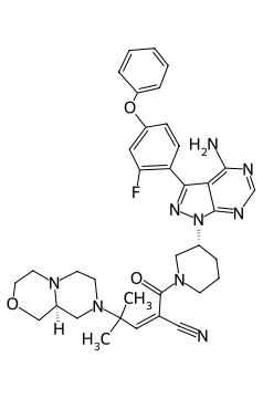 CC(C)(C=C(C#N)C(=O)N1CCC[C@@H](n2nc(-c3ccc(Oc4ccccc4)cc3F)c3c(N)ncnc32)C1)N1CCN2CCOC[C@@H]2C1